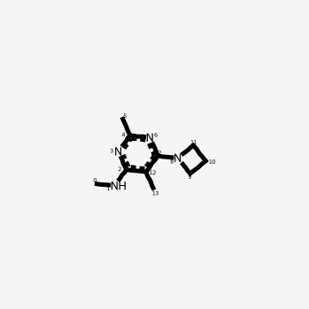 CNc1nc(C)nc(N2CCC2)c1C